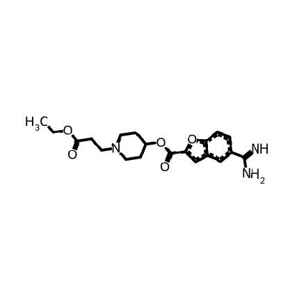 CCOC(=O)CCN1CCC(OC(=O)c2cc3cc(C(=N)N)ccc3o2)CC1